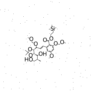 COCOc1cc(OC)cc(/C=C/C(OCOC)[C@@H]2OC(C)(C)O[C@@H]2C(O)[C@@H](C)[C@H](C)O)c1C(=O)OCC[Si](C)(C)C